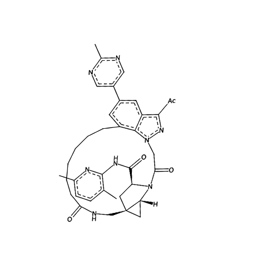 CC(=O)c1nn2c3c(cc(-c4cnc(C)nc4)cc13)CCCCCCC(=O)NC[C@@]13C[C@@H](C(=O)Nc4nc(C)ccc4C)N(C(=O)C2)[C@@H]1C3